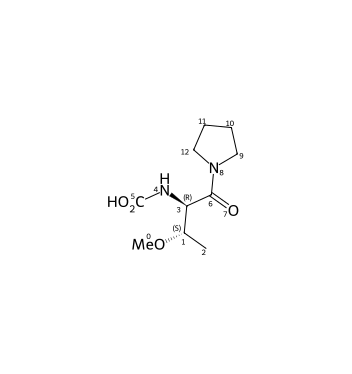 CO[C@@H](C)[C@@H](NC(=O)O)C(=O)N1CCCC1